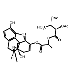 CC(=O)O[C@@H](C(=O)O)[C@@H](OC(C)=O)C(=O)O[C@@H](C)C(=O)OC1=CC[C@]2(O)[C@@H]3Cc4ccc(O)c5c4[C@]2(CCN3C)[C@@H]1O5